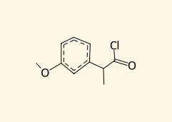 COc1cccc(C(C)C(=O)Cl)c1